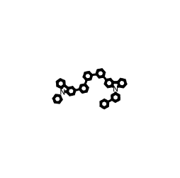 c1ccc(-c2cccc(-n3c4ccccc4c4cc(-c5cccc(-c6cccc(-c7cccc(-c8ccc9c(c8)c8ccccc8n9-c8ccccc8)c7)c6)c5)ccc43)c2)cc1